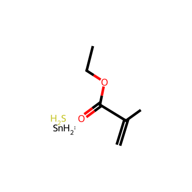 C=C(C)C(=O)OCC.S.[SnH2]